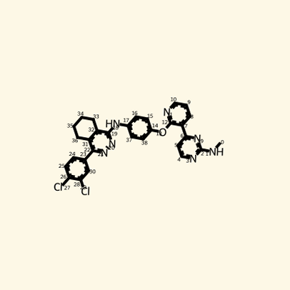 CNc1nccc(-c2cccnc2Oc2ccc(Nc3nnc(-c4ccc(Cl)c(Cl)c4)c4c3CCCC4)cc2)n1